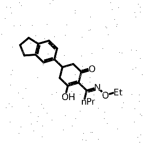 CCCC(=NOCC)C1=C(O)CC(c2ccc3c(c2)CCC3)CC1=O